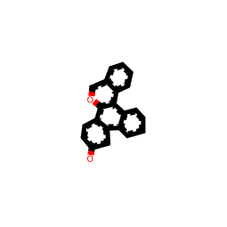 O=c1ccc2c(c1)c1ccccc1c1c3ccccc3coc21